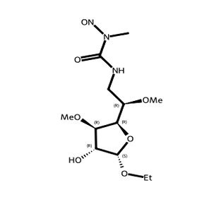 CCO[C@H]1O[C@H]([C@@H](CNC(=O)N(C)N=O)OC)[C@H](OC)[C@H]1O